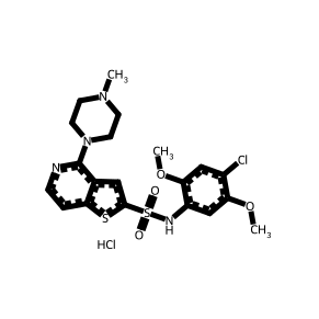 COc1cc(NS(=O)(=O)c2cc3c(N4CCN(C)CC4)nccc3s2)c(OC)cc1Cl.Cl